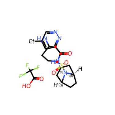 CCc1cnnc(C(=O)N[C@@H]2C[C@H]3CC[C@@H](C2)N3S(=O)(=O)N2CCC(N)CC2)c1.O=C(O)C(F)(F)F